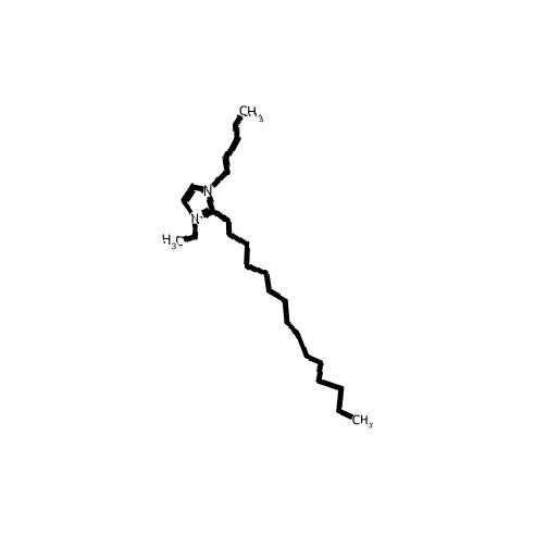 CCCCCCCCCCCCCCCc1n(CCCCC)cc[n+]1CC